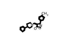 Cc1ccc(C2=NOC(=O)C2=CN2CCC(c3ccccc3)CC2)cc1